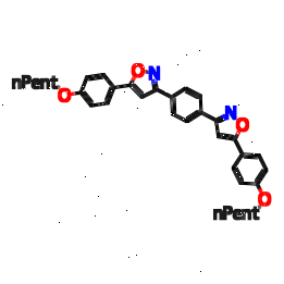 CCCCCOc1ccc(-c2cc(-c3ccc(-c4cc(-c5ccc(OCCCCC)cc5)on4)cc3)no2)cc1